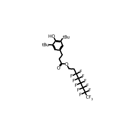 CC(C)(C)c1cc(CCC(=O)OCCC(F)(F)C(F)(F)C(F)(F)C(F)(F)C(F)(F)C(F)(F)F)cc(C(C)(C)C)c1O